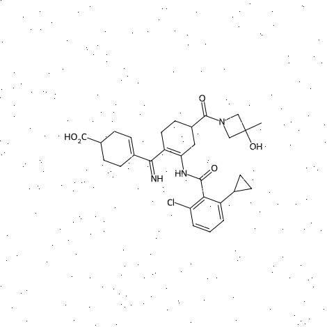 CC1(O)CN(C(=O)C2CCC(C(=N)C3=CCC(C(=O)O)CC3)=C(NC(=O)c3c(Cl)cccc3C3CC3)C2)C1